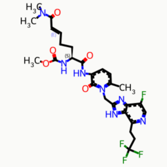 COC(=O)N[C@@H](CC/C=C/C(=O)N(C)C)C(=O)Nc1ccc(C)n(Cc2nc3c(F)cnc(CCC(F)(F)F)c3[nH]2)c1=O